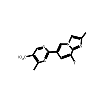 Cc1cn2cc(-c3ncc(C(=O)O)c(C)n3)cc(F)c2n1